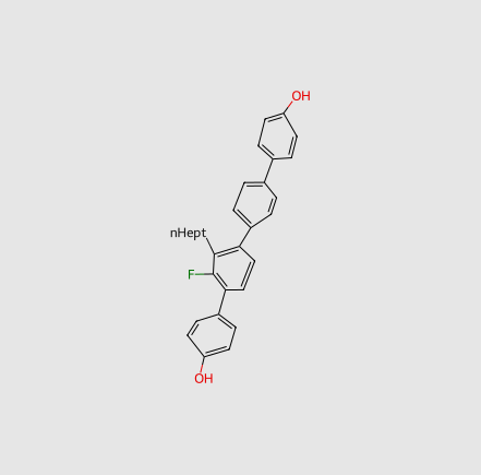 CCCCCCCc1c(-c2ccc(-c3ccc(O)cc3)cc2)ccc(-c2ccc(O)cc2)c1F